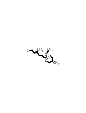 CCO[Si]1(CCC/C(C)=C/CCl)OCC(C)CO1